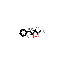 CB1OOC(C)(Cc2ccccc2)C1(C)C